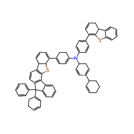 C1=CCCC(C2(c3ccccc3)c3ccccc3-c3c2ccc2c3SC3C(C4=CC=C(N(c5ccc(C6=C7Sc8ccccc8C7CC=C6)cc5)C5C=CC(C6C=CCCC6)=CC5)CC4)=CC=CC23)=C1